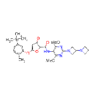 COc1nc(N2CC(N3CCC3)C2)nc(OC)c1NC(=O)C1OC(Oc2cc([Si](C)(C)C)ccc2C)=CC1=O